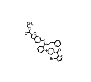 CCOC(=O)c1cc2ccc(SN(CCc3ccccc3)c3ccccc3N3CCN(C(=O)c4sccc4Br)CC3)cc2o1